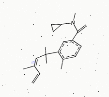 C=C/C(C)=C\C(C)(C)c1cc(C(=C)N(C)C2CC2)ccc1C